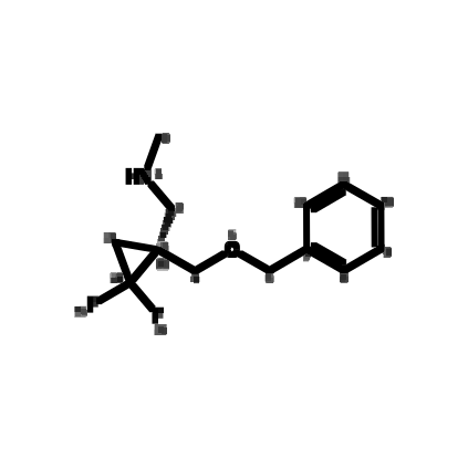 CNC[C@@]1(COCc2ccccc2)CC1(F)F